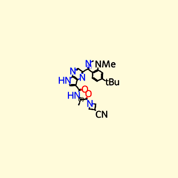 C/N=C(/c1cnc2[nH]cc(C(=O)N[C@H](C)C(=O)N3CC(C#N)C3)c2n1)c1ccc(C(C)(C)C)cc1NC